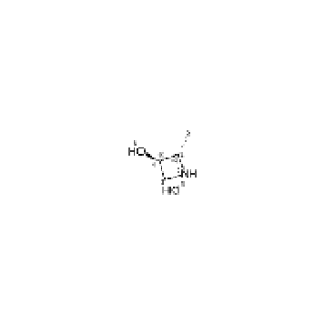 C[C@@H]1NC[C@H]1O.Cl